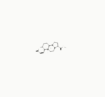 CC(C)(C)NC(=O)C1CC[C@H]2[C@@H]3CCC4OC(=O)C=C[C@]4(C)[C@@H]3CC[C@]12C